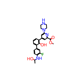 COC(=O)c1cc(-c2cccc(-c3ccc(NC(C)O)c(F)c3)c2O)cc(N2CCNCC2)n1